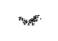 Cc1ccc(C(=O)Nc2ccc(N3CCOCC3)cc2)cc1-c1ccc(C(=O)Nc2cccc(OC(F)(F)F)c2)cc1